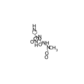 CN(CCNC(=O)c1cnn2c(C3CCNCC3)cc(=O)[nH]c12)CCOC=O